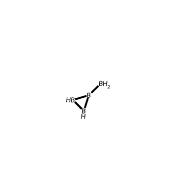 BB1BB1